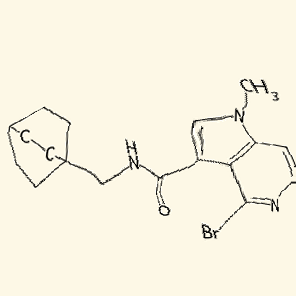 Cn1cc(C(=O)NCC23CCC(CC2)CC3)c2c(Br)nccc21